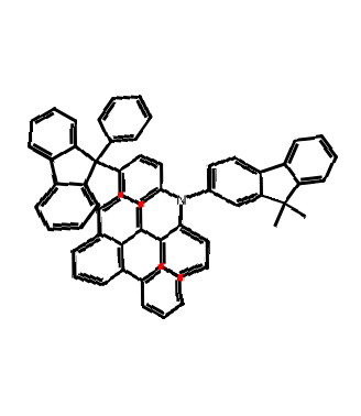 CC1(C)c2ccccc2-c2ccc(N(c3ccc(C4(c5ccccc5)c5ccccc5-c5ccccc54)cc3)c3ccccc3-c3cccc4cccc(-c5ccccc5)c34)cc21